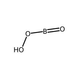 O=BOO